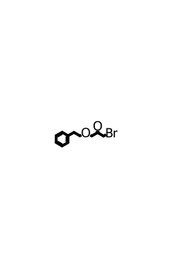 O=C(CBr)COCCc1ccccc1